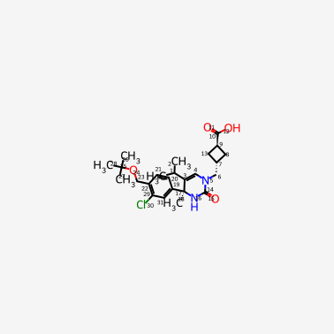 CC(C)C1=CN(C[C@H]2C[C@H](C(=O)O)C2)C(=O)N[C@@]1(C)c1ccc(COC(C)(C)C)c(Cl)c1